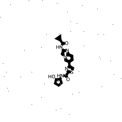 O=C(NC1CCC[C@H]1O)c1nc(-c2ccc3nc(NC(=O)C4CC4)cn3c2)cs1